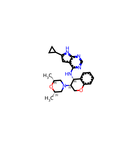 C[C@@H]1CN([C@@H]2COc3ccccc3[C@H]2Nc2ncnc3[nH]c(C4CC4)cc23)C[C@H](C)O1